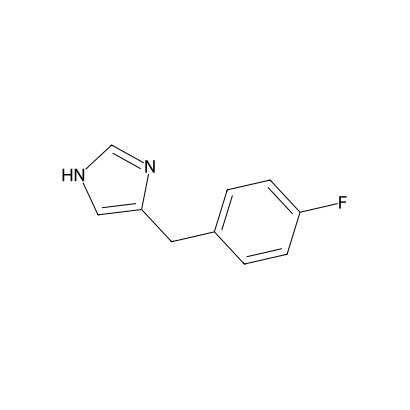 Fc1ccc(Cc2c[nH]cn2)cc1